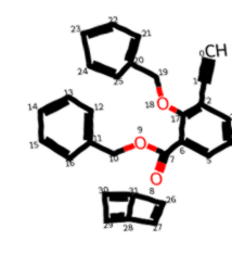 C#Cc1cccc(C(=O)OCc2ccccc2)c1OCc1ccccc1.c1cc2ccc1-2